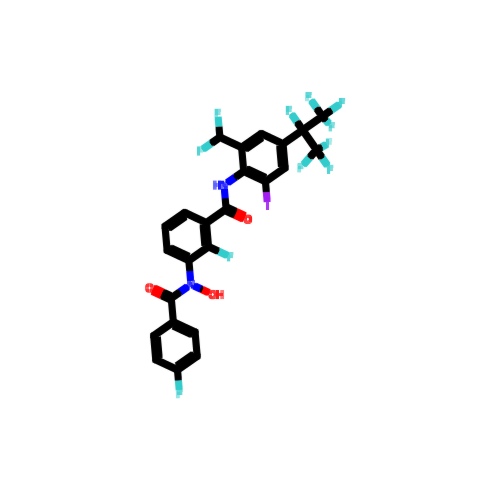 O=C(Nc1c(I)cc(C(F)(C(F)(F)F)C(F)(F)F)cc1C(F)F)c1cccc(N(O)C(=O)c2ccc(F)cc2)c1F